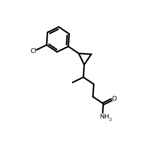 CC(CCC(N)=O)C1CC1c1cccc(Cl)c1